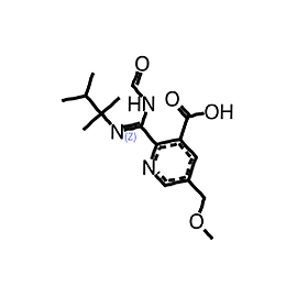 COCc1cnc(/C(=N/C(C)(C)C(C)C)NC=O)c(C(=O)O)c1